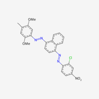 COc1cc(N=Nc2ccc(N=Nc3ccc([N+](=O)[O-])cc3Cl)c3ccccc23)c(OC)cc1C